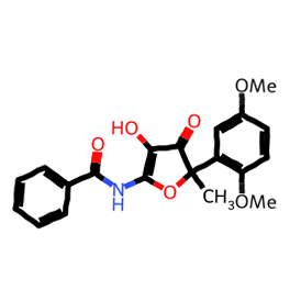 COc1ccc(OC)c(C2(C)OC(NC(=O)c3ccccc3)=C(O)C2=O)c1